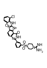 Cn1c(Nc2c(Cl)cccc2Cl)nc2ccc3nc(-c4cccc(S(=O)(=O)N5CCN(C(=N)N)CC5)c4)[nH]c(=O)c3c21